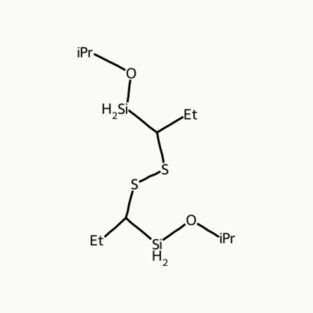 CCC([SiH2]OC(C)C)SSC(CC)[SiH2]OC(C)C